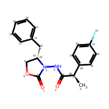 C[C@@H](C(=O)NN1C(=O)OC[C@@H]1Cc1ccccc1)c1ccc(F)cc1